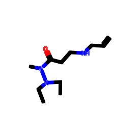 C=CCNCCC(=O)N(C)N(CC)CC